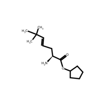 CC(C)(C)/C=C/C[C@H](N)C(=O)OC1CCCC1